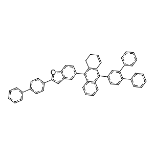 C1=Cc2c(c(-c3ccc4oc(-c5ccc(-c6ccccc6)cc5)cc4c3)c3ccccc3c2-c2ccc(-c3ccccc3)c(-c3ccccc3)c2)CC1